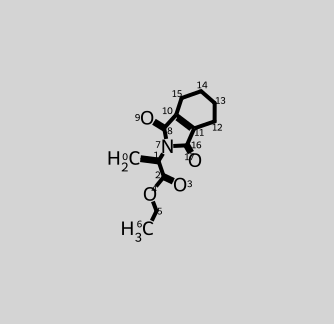 C=C(C(=O)OCC)N1C(=O)C2=C(CCCC2)C1=O